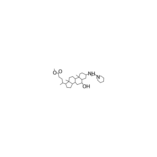 COC(=O)CCC(C)C1CCC2C3C[C@H](O)C4CC(NCCN5CCCCC5)CCC4(C)C3CCC12C